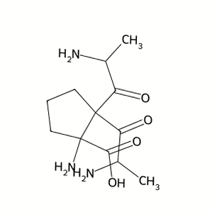 CC(N)C(=O)C1(C(=O)C(C)N)CCCC1(N)C(=O)O